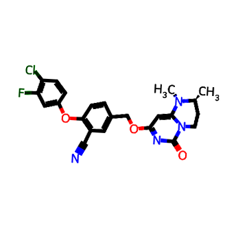 C[C@@H]1CCn2c(cc(OCc3ccc(Oc4ccc(Cl)c(F)c4)c(C#N)c3)nc2=O)N1C